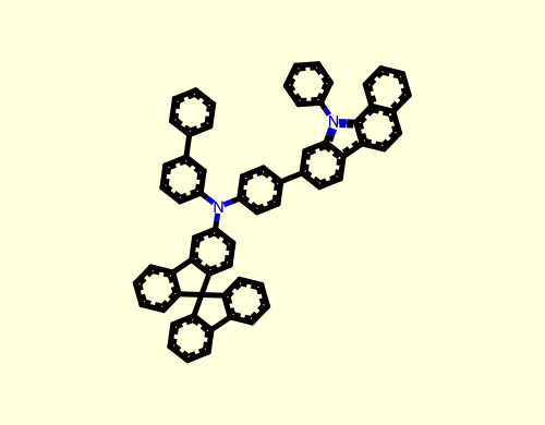 c1ccc(-c2cccc(N(c3ccc(-c4ccc5c6ccc7ccccc7c6n(-c6ccccc6)c5c4)cc3)c3ccc4c(c3)-c3ccccc3C43c4ccccc4-c4ccccc43)c2)cc1